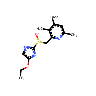 COc1cc(C)nc(C[S+]([O-])c2nc(OCC(F)(F)F)c[nH]2)c1C